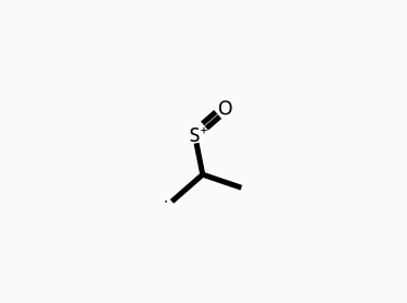 [CH2]C(C)[S+]=O